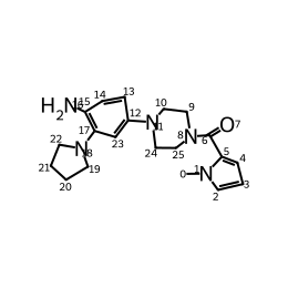 Cn1cccc1C(=O)N1CCN(c2ccc(N)c(N3CCCC3)c2)CC1